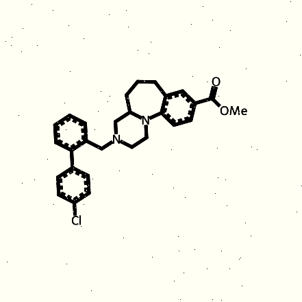 COC(=O)c1ccc2c(c1)CCCC1CN(Cc3ccccc3-c3ccc(Cl)cc3)CCN21